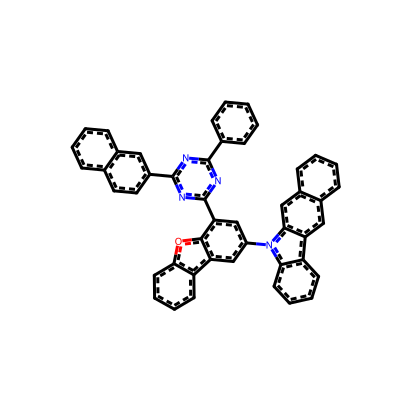 c1ccc(-c2nc(-c3ccc4ccccc4c3)nc(-c3cc(-n4c5ccccc5c5cc6ccccc6cc54)cc4c3oc3ccccc34)n2)cc1